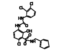 O=C(Nc1ccc(Cl)c(S(=O)(=O)NCc2ccccc2)c1O)Nc1cccc(Cl)c1Cl